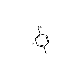 CC(=O)Oc1ccc(C)cc1.[Tl]